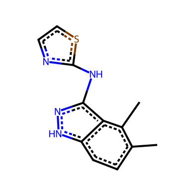 Cc1ccc2[nH]nc(Nc3nccs3)c2c1C